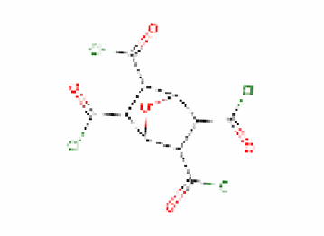 O=C(Cl)C1C2OC(C1C(=O)Cl)C(C(=O)Cl)C2C(=O)Cl